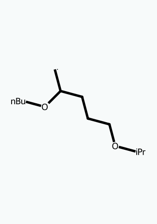 [CH2]C(CCCOC(C)C)OCCCC